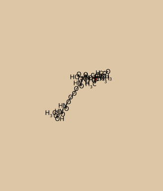 CCSC(CC(=O)O)C(=O)NCCC(=O)NCCOCCOCCOCCOCCC(=O)NCC(=O)N[C@@H](CCC(=O)O)C(=O)NCOCC(=O)[C@@]1(OC(=O)CC)[C@@H](C)CC2[C@@H]3CCC4=CC(=O)C=C[C@]4(C)[C@@]3(Cl)[C@@H](O)C[C@@]21C